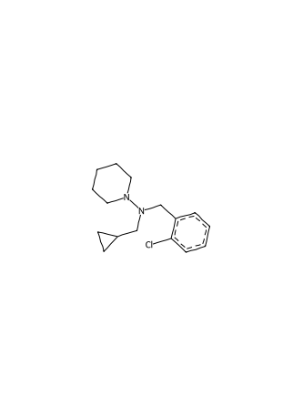 Clc1ccccc1CN(CC1CC1)N1CCCCC1